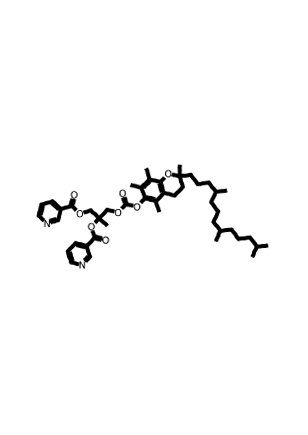 Cc1c(C)c2c(c(C)c1OC(=O)OCC(C)(COC(=O)c1cccnc1)OC(=O)c1cccnc1)CCC(C)(CCCC(C)CCCC(C)CCCC(C)C)O2